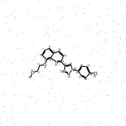 COCCOc1cccc2ccc(-c3cn(-c4ccc(Cl)cc4)nn3)nc12